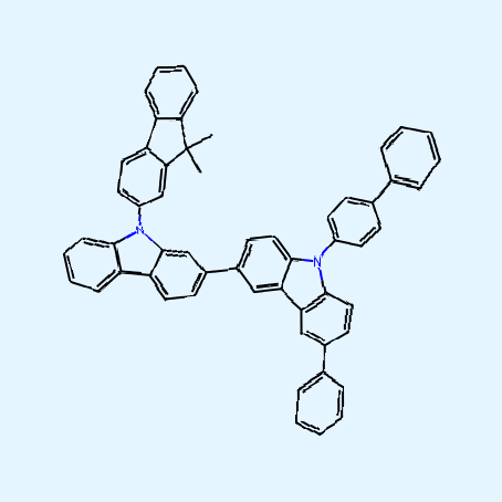 CC1(C)c2ccccc2-c2ccc(-n3c4ccccc4c4ccc(-c5ccc6c(c5)c5cc(-c7ccccc7)ccc5n6-c5ccc(-c6ccccc6)cc5)cc43)cc21